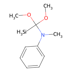 COC([SiH3])(OC)N(C)c1ccccc1